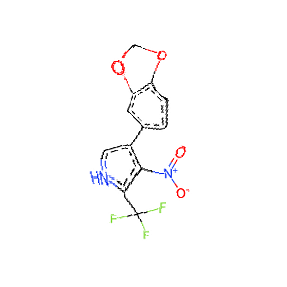 O=[N+]([O-])c1c(-c2ccc3c(c2)OCO3)c[nH]c1C(F)(F)F